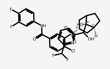 O=C(Nc1ccc(F)c(F)c1)c1ccc(Cl)c(S(=O)(=O)[C@@H]2CC3CC[C@@H](C2)[C@@]3(O)C(O)c2cccc(C(F)F)n2)c1